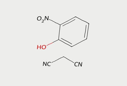 N#CCC#N.O=[N+]([O-])c1ccccc1O